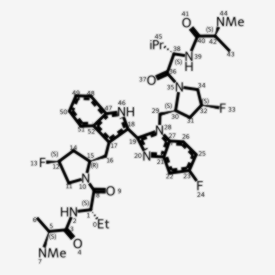 CC[C@H](NC(=O)[C@H](C)NC)C(=O)N1C[C@@H](F)C[C@H]1Cc1c(-c2nc3cc(F)ccc3n2C[C@@H]2C[C@H](F)CN2C(=O)[C@@H](NC(=O)[C@H](C)NC)C(C)C)[nH]c2ccccc12